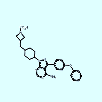 Nc1ncnc2c1c(-c1ccc(Oc3ccccc3)cc1)nn2C1CCN(CC2CN(C(=O)O)C2)CC1